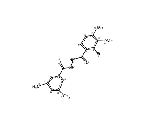 CCc1c(C(=O)NNC(=O)c2cc(C)cc(C)c2)ccc(C(C)(C)C)c1OC